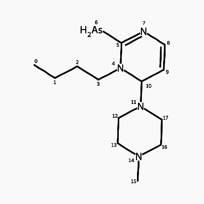 CCCCN1C([AsH2])=NC=CC1N1CCN(C)CC1